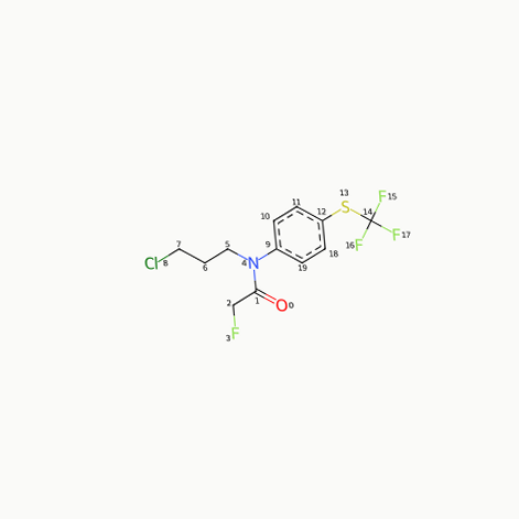 O=C(CF)N(CCCCl)c1ccc(SC(F)(F)F)cc1